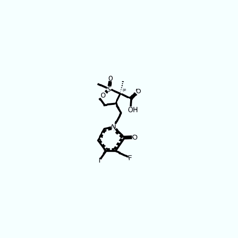 CCC(Cn1ccc(I)c(F)c1=O)[C@](C)(C(=O)O)S(C)(=O)=O